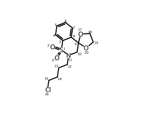 O=S1(=O)c2ccccc2C2(CN1CCCCCl)OCCO2